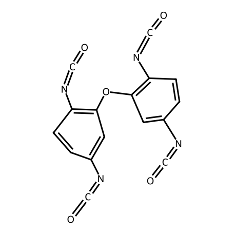 O=C=Nc1ccc(N=C=O)c(Oc2cc(N=C=O)ccc2N=C=O)c1